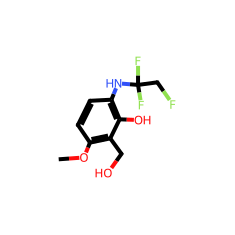 COc1ccc(NC(F)(F)CF)c(O)c1CO